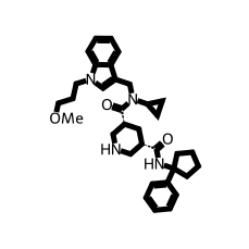 COCCCn1cc(CN(C(=O)[C@H]2CNC[C@@H](C(=O)NC3(c4ccccc4)CCCC3)C2)C2CC2)c2ccccc21